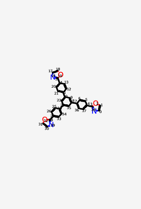 c1coc(-c2ccc(-c3cc(-c4ccc(-c5ncco5)cc4)cc(-c4ccc(-c5ncco5)cc4)c3)cc2)n1